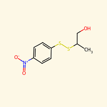 CC(CO)SSc1ccc([N+](=O)[O-])cc1